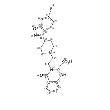 O=C1c2ccccc2NC(S(=O)(=O)O)N1CCN1CCC(c2noc3cc(F)ccc23)CC1